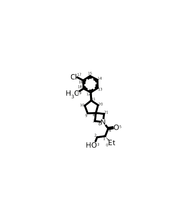 CC[C@H](CO)C(=O)N1CC2(CCC(c3cccc(Cl)c3C)C2)C1